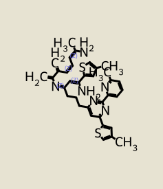 C=C(/C=C\C=C(\C)N)C(=C)/N=C(\C=C(/N)c1cc(C)cs1)CCCc1cc(-c2cc(C)cs2)nc(-c2cccc(C)n2)n1